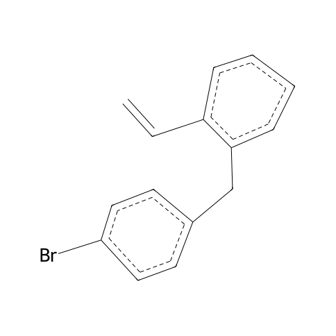 C=Cc1ccccc1Cc1ccc(Br)cc1